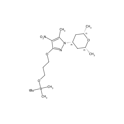 Cc1c([N+](=O)[O-])c(OCCCO[Si](C)(C)C(C)(C)C)nn1[C@H]1C[C@@H](C)O[C@@H](C)C1